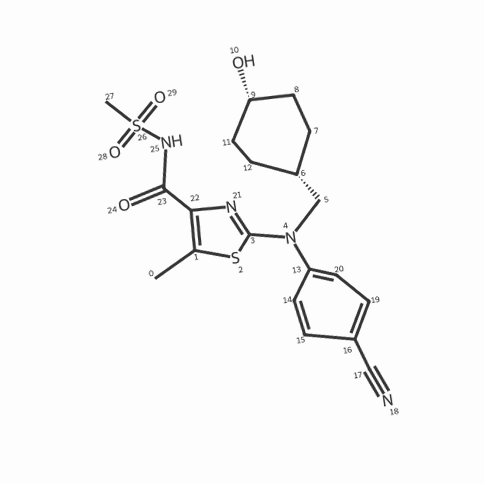 Cc1sc(N(C[C@H]2CC[C@@H](O)CC2)c2ccc(C#N)cc2)nc1C(=O)NS(C)(=O)=O